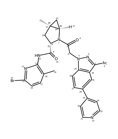 CC(=O)c1nn(CC(=O)N2[C@H](C(=O)Nc3nc(Br)ccc3C)C[C@@]3(C)C[C@@H]23)c2ccc(-c3ccncc3)cc12